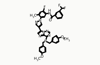 COc1ccc(CN(Cc2ccc(OC)cc2)c2ncnn3c(-c4cnn(-c5cc(NC(=O)c6cccc(C(F)F)c6)c(F)cc5C)c4)cnc23)cc1